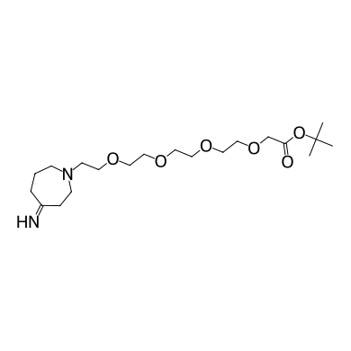 CC(C)(C)OC(=O)COCCOCCOCCOCCN1CCCC(=N)CC1